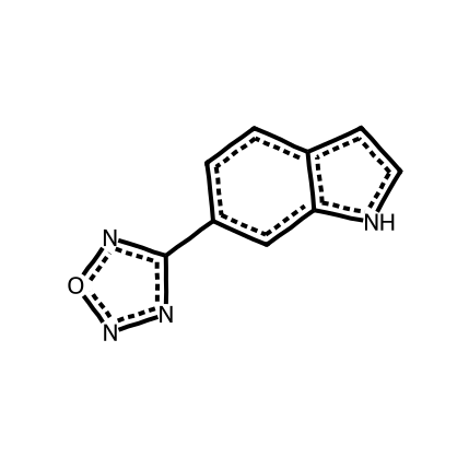 c1cc2ccc(-c3nnon3)cc2[nH]1